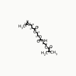 C=C(C)C(=O)OCCNC(=O)OCCOC(=O)CCN1CC1C